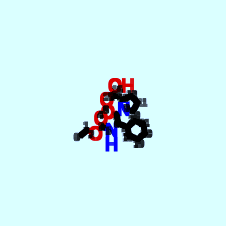 CCOC(=O)N[C@@H](C(=O)N1CCC[C@H]1C(=O)O)C1CCCCC1